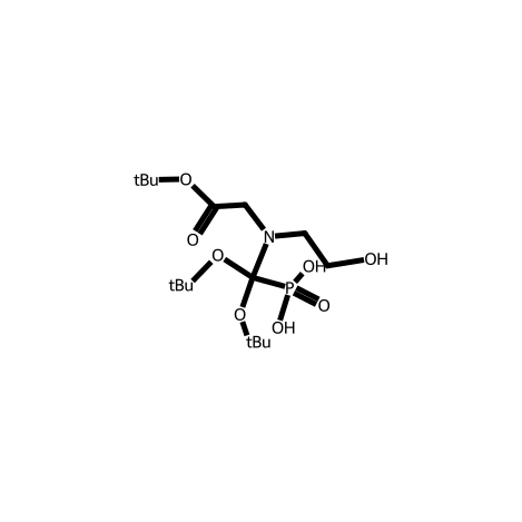 CC(C)(C)OC(=O)CN(CCO)C(OC(C)(C)C)(OC(C)(C)C)P(=O)(O)O